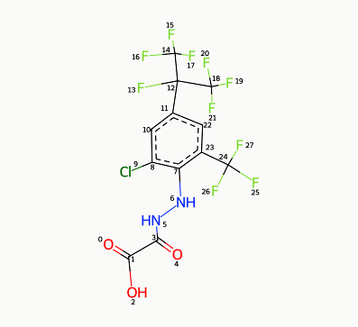 O=C(O)C(=O)NNc1c(Cl)cc(C(F)(C(F)(F)F)C(F)(F)F)cc1C(F)(F)F